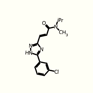 CC(C)N(C)C(=O)C=Cc1n[nH]c(-c2cccc(Cl)c2)n1